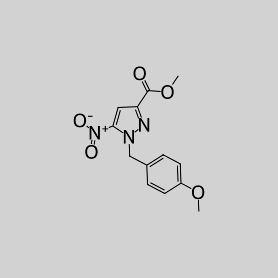 COC(=O)c1cc([N+](=O)[O-])n(Cc2ccc(OC)cc2)n1